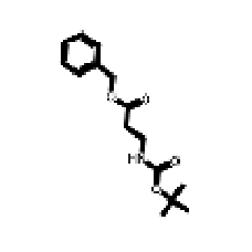 CC(C)(C)OC(=O)NCCC(=O)OCc1ccccc1